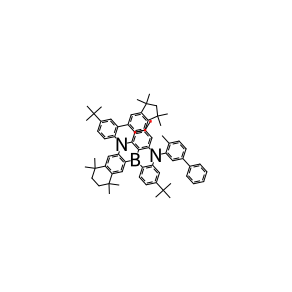 Cc1cc2c3c(c1)N(c1ccc(C(C)(C)C)cc1-c1ccc4c(c1)C(C)(C)CC4(C)C)c1cc4c(cc1B3c1ccc(C(C)(C)C)cc1N2c1cc(-c2ccccc2)ccc1C)C(C)(C)CCC4(C)C